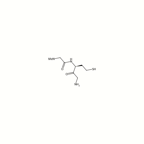 CNCC(=O)N[C@@H](CCS)C(=O)CN